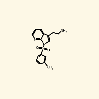 Cc1cccc(S(=O)(=O)n2cc(CCN)c3cccnc32)c1